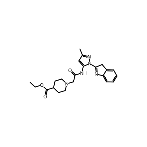 CCOC(=O)C1CCN(CC(=O)Nc2cc(C)nn2C2=Nc3ccccc3C2)CC1